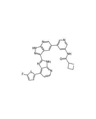 O=C(Nc1cncc(-c2cnc3[nH]nc(-c4nc5c(-c6ccc(F)s6)ccnc5[nH]4)c3c2)c1)C1CCC1